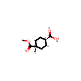 COC(=O)[C@]1(C)CC[C@@H](C(=O)O)CC1